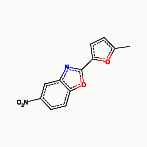 Cc1ccc(-c2nc3cc([N+](=O)[O-])ccc3o2)o1